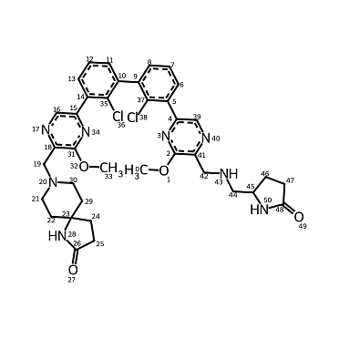 COc1nc(-c2cccc(-c3cccc(-c4cnc(CN5CCC6(CCC(=O)N6)CC5)c(OC)n4)c3Cl)c2Cl)cnc1CNCC1CCC(=O)N1